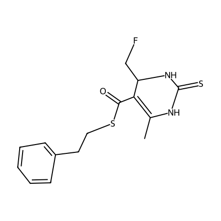 CC1=C(C(=O)SCCc2ccccc2)C(CF)NC(=S)N1